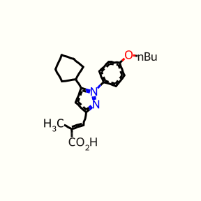 CCCCOc1ccc(-n2nc(/C=C(\C)C(=O)O)cc2C2CCCCC2)cc1